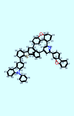 c1ccc(-c2cc(-c3ccc4c(c3)oc3ccccc34)nc(-c3cccc4oc5ccc(-c6ccc7sc8c(-c9ccc%10c(c9)c9ccccc9n%10-c9ccccc9)cccc8c7c6)cc5c34)c2)cc1